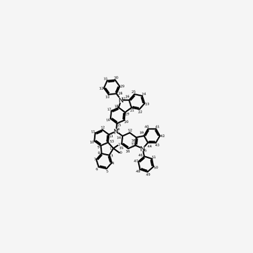 CC1(C)c2ccccc2-c2cccc(N(c3ccc4c(c3)c3ccccc3n4-c3ccccc3)C3C=Cc4c(c5ccccc5n4-c4ccccc4)C3)c21